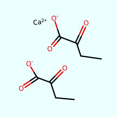 CCC(=O)C(=O)[O-].CCC(=O)C(=O)[O-].[Ca+2]